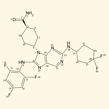 NC(=O)[C@H]1CC[C@H](n2c(Nc3c(F)cc(F)cc3F)nc3cnc(NC4CCC(F)(F)CC4)nc32)CC1